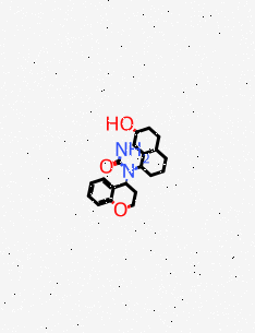 NC(=O)N(C1CCCC2CCC(O)CC21)[C@@H]1CCOc2ccccc21